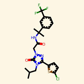 CC(C)Cn1c(-c2ccc(Cl)s2)nn(CC(=O)NC(C)(C)c2cccc(C(F)(F)F)c2)c1=O